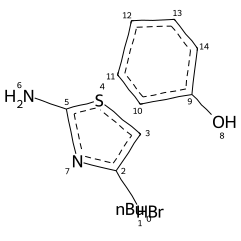 Br.CCCCc1csc(N)n1.Oc1ccccc1